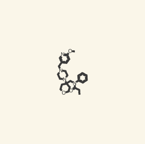 CCC(=O)N(CC1(N2CCN(Cc3ccc(OC)nc3)CC2)CCOCC1)c1ccccc1